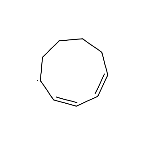 [CH]1/C=C\C=C/CCCC1